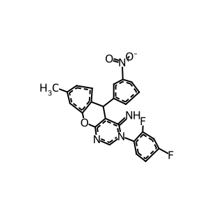 Cc1ccc2c(c1)Oc1ncn(-c3ccc(F)cc3F)c(=N)c1C2c1cccc([N+](=O)[O-])c1